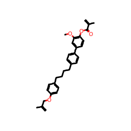 C=C(C)COc1ccc(CCCCc2ccc(-c3ccc(OC(=O)C(=C)C)c(OC)c3)cc2)cc1